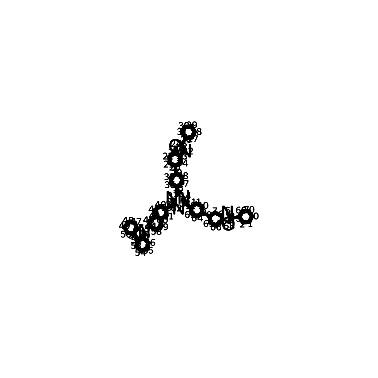 c1ccc(-c2nc3cc(-c4ccc(-c5nc(-c6ccc(-c7ccc8oc(-c9ccccc9)nc8c7)cc6)nc(-c6ccc7cc(-n8c9ccccc9c9ccccc98)ccc7c6)n5)cc4)ccc3o2)cc1